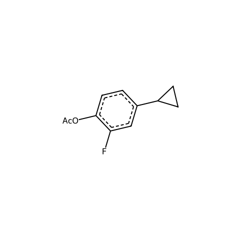 CC(=O)Oc1ccc(C2CC2)cc1F